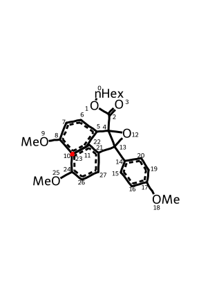 CCCCCCOC(=O)C1(c2ccc(OC)cc2)OC1(c1ccc(OC)cc1)c1ccc(OC)cc1